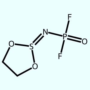 O=P(F)(F)N=S1OCCO1